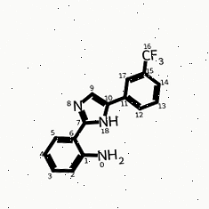 Nc1ccccc1-c1ncc(-c2cccc(C(F)(F)F)c2)[nH]1